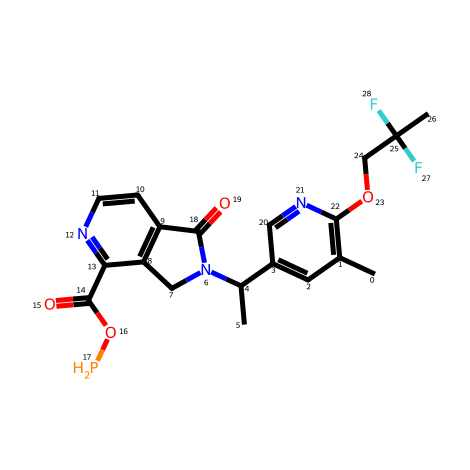 Cc1cc(C(C)N2Cc3c(ccnc3C(=O)OP)C2=O)cnc1OCC(C)(F)F